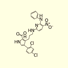 O=C(O)c1[nH]cc(-c2ccc(Cl)cc2Cl)c1CCCNc1ccc([N+](=O)[O-])c(Nc2ccccc2)n1